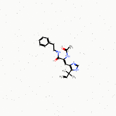 C=CC(C)(C)c1[nH]cnc1/C=C(\NC(C)=O)C(=O)NCCc1ccccc1